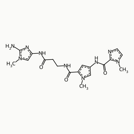 Cn1cc(NC(=O)c2nccn2C)cc1C(=O)NCCC(=O)Nc1cn(C)c(N)n1